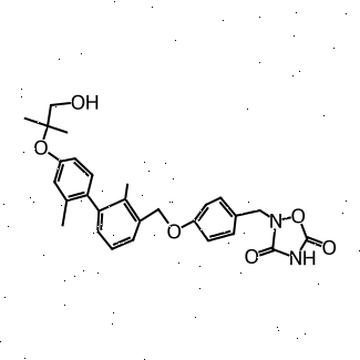 Cc1cc(OC(C)(C)CO)ccc1-c1cccc(COc2ccc(Cn3oc(=O)[nH]c3=O)cc2)c1C